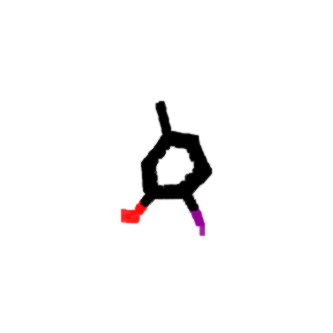 Cc1ccc(I)c(O)c1